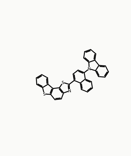 c1ccc2c(c1)sc1ccc3nc(-c4ccc(-n5c6ccccc6c6ccccc65)c5ccccc45)sc3c12